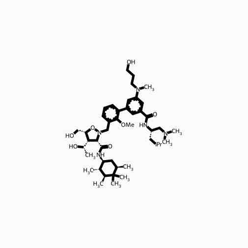 COc1c(CN2O[C@@H](CO)[C@@H]([C@H](C)O)[C@H]2C(=O)N[C@H]2C[C@@H](C)C(C)(C)[C@@H](C)[C@@H]2C)cccc1-c1cc(C(=O)N[C@@H](CC(C)C)CN(C)C)cc(N(C)CCCO)c1